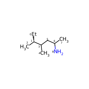 CC[C@H](C)C(C)CC(C)N